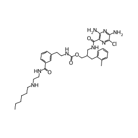 CCCCCCNCCNC(=O)c1cccc(CCNC(=O)OCC(CNC(=O)c2nc(Cl)c(N)nc2N)Cc2ccccc2C)c1